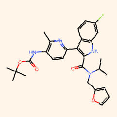 Cc1nc(-c2c(C(=O)N(Cc3ccco3)C(C)C)[nH]c3cc(F)ccc23)ccc1NC(=O)OC(C)(C)C